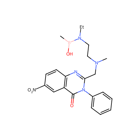 CCN(CCN(C)Cc1nc2ccc([N+](=O)[O-])cc2c(=O)n1-c1ccccc1)B(C)O